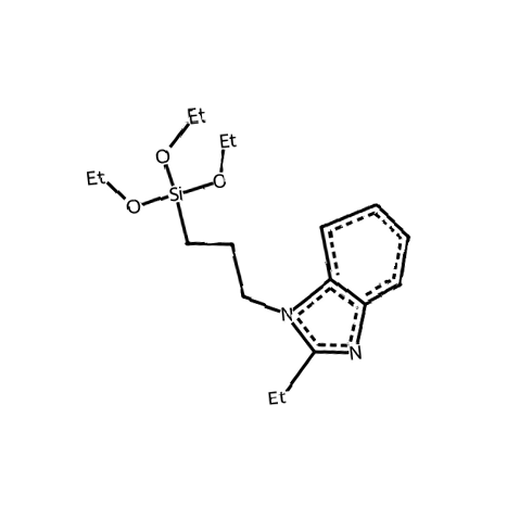 CCO[Si](CCCn1c(CC)nc2ccccc21)(OCC)OCC